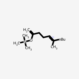 C=C(CC/C=C(\C)CCCC)O[Si](C)(C)C